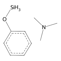 CN(C)C.[SiH3]Oc1ccccc1